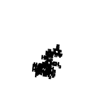 BC1(B)N(CC(F)F)C(B)(B)C(B)(B)N(c2cc(C)cc(Nc3ncn(-c4cc(F)cc(F)c4)n3)c2)C1(B)B